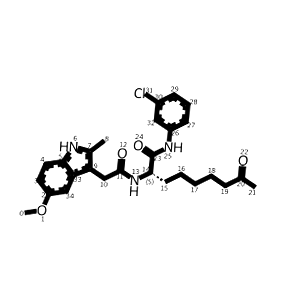 COc1ccc2[nH]c(C)c(CC(=O)N[C@@H](CCCCCC(C)=O)C(=O)Nc3cccc(Cl)c3)c2c1